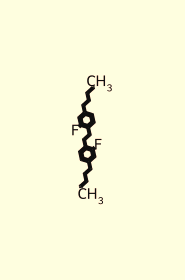 CCCCCc1ccc(CCc2ccc(CCCCC)cc2F)c(F)c1